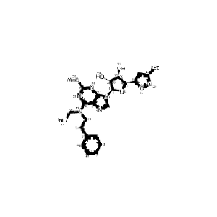 CCc1cc([C@H]2O[C@@H](n3cnc4c(N(CO)CCc5ccccc5)nc(OC)nc43)[C@H](O)[C@@H]2O)on1